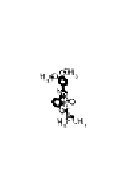 CCN(CC)C(=O)Cn1c(=O)n2cc(-c3ccc(OC)c(OC)c3)nc2c2ccccc21